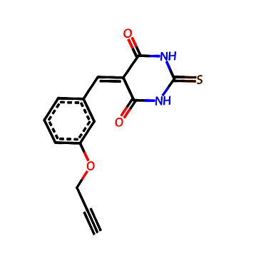 C#CCOc1cccc(C=C2C(=O)NC(=S)NC2=O)c1